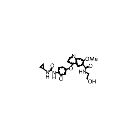 COc1cc2nccc(Oc3ccc(NC(=O)NC4CC4)c(Cl)c3)c2cc1C(=O)NCCO